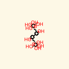 OC[C@H]1O[C@@H](CCc2cc(-c3ccc(O)c(CC[C@@H]4O[C@H](CO)[C@@H](O)[C@H](O)[C@@H]4O)c3)ccc2O)[C@@H](O)[C@@H](O)[C@@H]1O